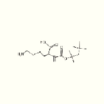 CC(C)(C)CC(C)(C)OC(=O)N[C@@H](CCCCN)C(=O)O